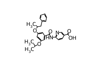 CC(C)Oc1cc(OC(C)Cc2ccccc2)cc(C(=O)Nc2ccc(C(=O)O)cn2)c1